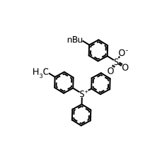 CCCCc1ccc(S(=O)(=O)[O-])cc1.Cc1ccc([S+](c2ccccc2)c2ccccc2)cc1